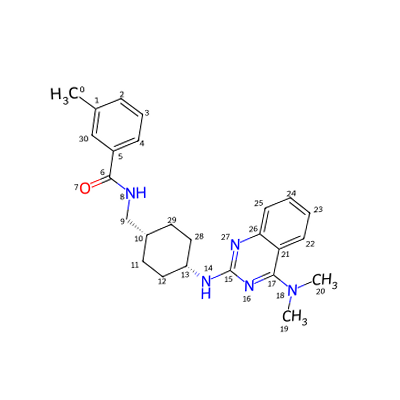 Cc1cccc(C(=O)NC[C@H]2CC[C@@H](Nc3nc(N(C)C)c4ccccc4n3)CC2)c1